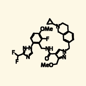 COCc1nn(Cc2ccc3c(c2)CN(C2CC2)CC3)cc1C(=O)NCc1c(-n2cnc(C(F)F)n2)ccc(OC)c1F